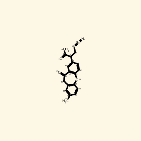 CC(=O)C(CN=[N+]=[N-])c1ccc2c(c1)C(=O)Cc1cc(C)ccc1O2